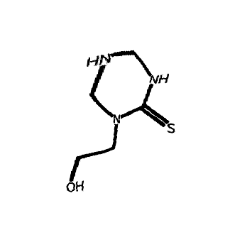 OCCN1CNCNC1=S